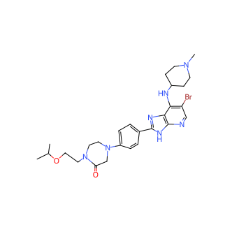 CC(C)OCCN1CCN(c2ccc(-c3nc4c(NC5CCN(C)CC5)c(Br)cnc4[nH]3)cc2)CC1=O